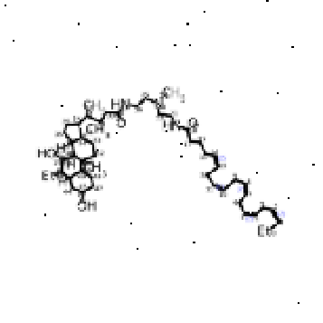 CC/C=C\C/C=C\C/C=C\C/C=C\C/C=C\CCCC(=O)NCCN(C)CCNC(=O)CC[C@@H](C)C1CC[C@H]2[C@@H]3[C@H](O)[C@H](CC)[C@@H]4C[C@H](O)CC[C@]4(C)[C@H]3CC[C@]12C